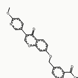 COC(=O)c1cccc(COc2ccc3c(=O)c(-c4ccc(OC)nc4)coc3c2)c1